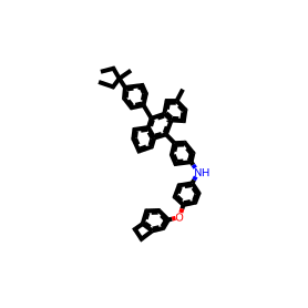 CCC(C)(CC)c1ccc(-c2c3ccccc3c(-c3ccc(Nc4ccc(Oc5ccc6c(c5)CC6)cc4)cc3)c3ccc(C)cc23)cc1